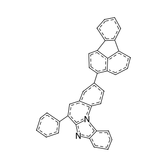 c1ccc(-c2cc3cc(-c4ccc5c6c(cccc46)-c4ccccc4-5)ccc3n3c2nc2ccccc23)cc1